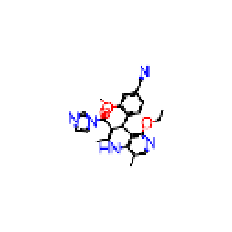 CCOc1ncc(C)c2c1C(c1ccc(C#N)cc1OC)C(C(=O)n1ccnc1)=C(C)N2